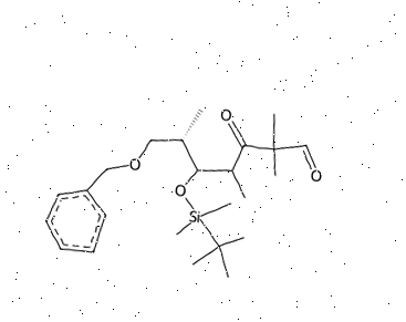 CC(C(=O)C(C)(C)C=O)C(O[Si](C)(C)C(C)(C)C)[C@@H](C)COCc1ccccc1